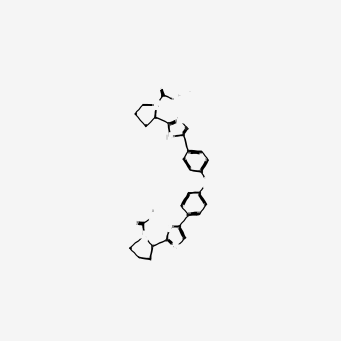 CC(C)(C)OC(=O)N1CCCC1c1ncc(-c2ccc(Oc3ccc(-c4cnc(C5CCCN5C(=O)OC(C)(C)C)[nH]4)cc3)cc2)[nH]1